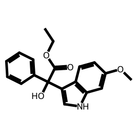 CCOC(=O)C(O)(c1ccccc1)c1c[nH]c2cc(OC)ccc12